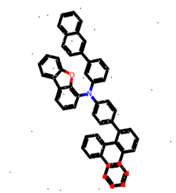 c1ccc(-c2ccccc2-c2c(-c3ccccc3)cccc2-c2ccc(N(c3cccc(-c4ccc5ccccc5c4)c3)c3cccc4c3oc3ccccc34)cc2)cc1